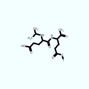 CC(=O)C(CCC(=O)OI)NC(=O)C(CCC(=O)O)NC(C)C